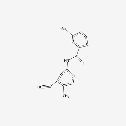 C#Cc1cc(NC(=O)c2cccc(C(C)(C)C)c2)ccc1C